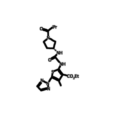 CCOC(=O)c1c(NC(=O)N[C@@H]2CCN(C(=O)C(C)C)C2)sc(-n2nccn2)c1C